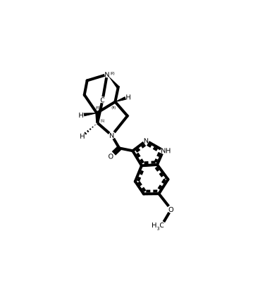 COc1ccc2c(C(=O)N3C[C@H]4C[N@]5CC[C@H]4[C@H]3C5)n[nH]c2c1